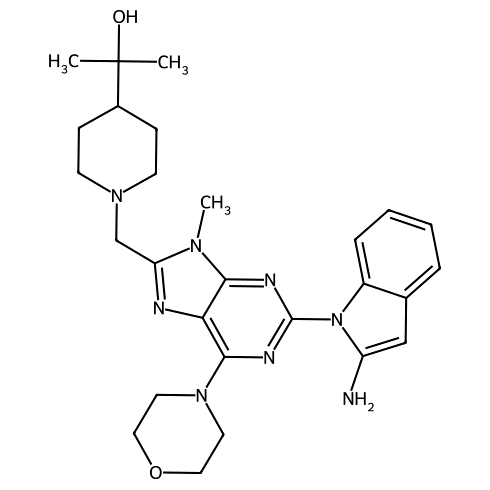 Cn1c(CN2CCC(C(C)(C)O)CC2)nc2c(N3CCOCC3)nc(-n3c(N)cc4ccccc43)nc21